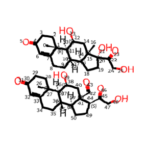 C[C@]12CCC(=O)C=C1CC[C@@H]1[C@@H]2[C@@H](O)C[C@@]2(C)[C@H]1CC[C@]2(O)C(=O)CO.C[C@]12CCC(=O)C=C1CC[C@@H]1[C@@H]2[C@@H](O)C[C@]2(C=O)[C@@H](C(=O)CO)CC[C@@H]12